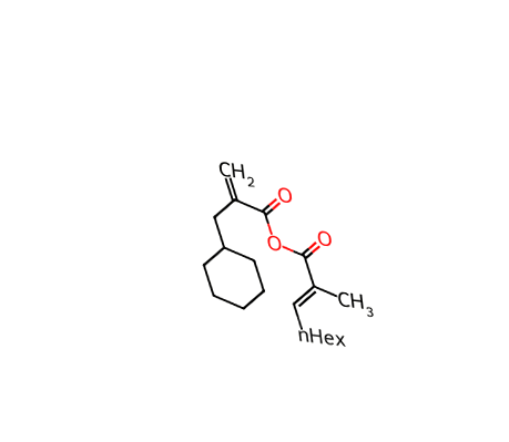 C=C(CC1CCCCC1)C(=O)OC(=O)C(C)=CCCCCCC